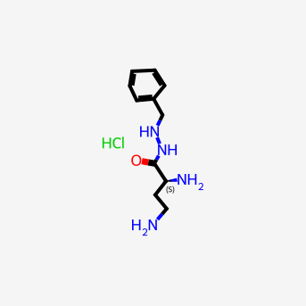 Cl.NCC[C@H](N)C(=O)NNCc1ccccc1